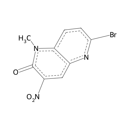 Cn1c(=O)c([N+](=O)[O-])cc2nc(Br)ccc21